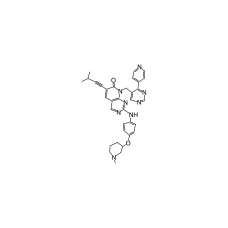 CC(C)C#Cc1cc2cnc(Nc3ccc(OC4CCCN(C)C4)cc3)nc2n(Cc2cncnc2-c2ccncc2)c1=O